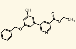 CCOC(=O)c1cncc(-c2cc(O)cc(OCc3ccccc3)c2)c1